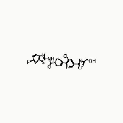 O=C(Nc1nc2ccc(F)cc2s1)N1CC=C(c2ncc(-c3nc(CO)co3)cc2Cl)CC1